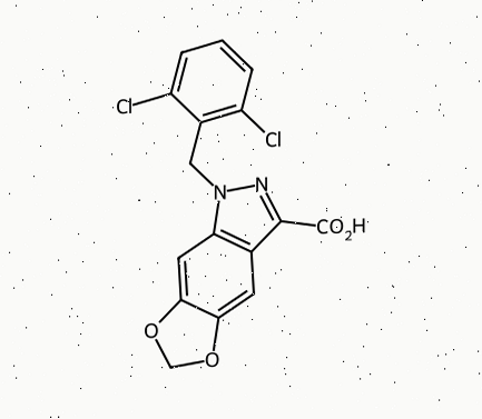 O=C(O)c1nn(Cc2c(Cl)cccc2Cl)c2cc3c(cc12)OCO3